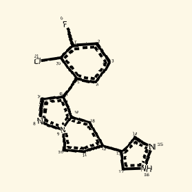 Fc1cccc(-c2cnn3ccc(-c4cn[nH]c4)cc23)c1Cl